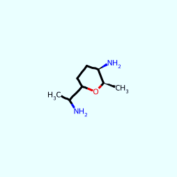 CC(N)C1CC[C@@H](N)[C@@H](C)O1